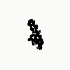 C=C1CCC2(OC/C=C/c3ccccc3)C(N(C)CC3CC3)Cc3ccc(OC)c4c3[C@@]2(C)[C@H]1O4